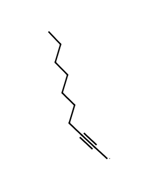 [CH2]C#CCCCCCCC